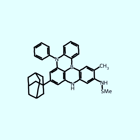 CSNc1cc2c(cc1C)B1c3ccccc3N(c3ccccc3)c3cc(C45CC6CC(CC(C6)C4)C5)cc(c31)N2